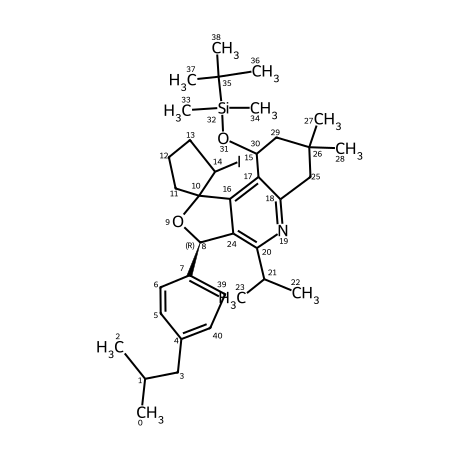 CC(C)Cc1ccc([C@H]2OC3(CCCC3I)c3c4c(nc(C(C)C)c32)CC(C)(C)CC4O[Si](C)(C)C(C)(C)C)cc1